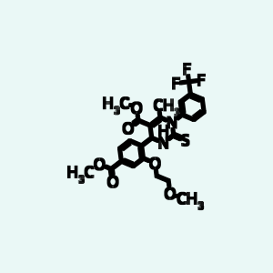 COCCOc1cc(C(=O)OC)ccc1C1NC(=S)N(c2cccc(C(F)(F)F)c2)C(C)=C1C(=O)OC